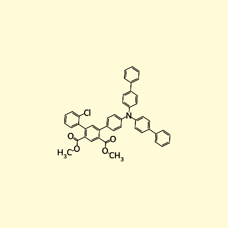 COC(=O)c1cc(C(=O)OC)c(-c2ccccc2Cl)cc1-c1ccc(N(c2ccc(-c3ccccc3)cc2)c2ccc(-c3ccccc3)cc2)cc1